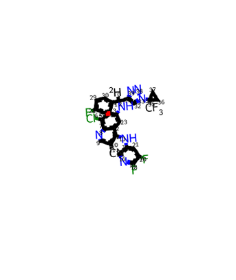 [2H]C(Nc1cc(Cl)c2ncc(C#N)c(Nc3cnc(F)c(F)c3)c2c1)(c1ccc(F)cc1)c1cn(C2(C(F)(F)F)CC2)nn1